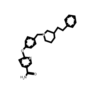 NC(=O)c1ccc(Oc2ccc(CN3CCCC(CCc4ccccc4)C3)cc2)nc1